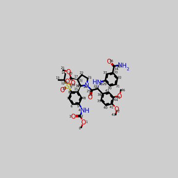 COC(=O)Nc1ccc(S(=O)(=O)C(C)C)c([C@H]2[C@@H](C(=O)OC)CCN2C(=O)[C@H](Nc2cccc(C(N)=O)c2)c2ccc(OC)c(OC)c2)c1